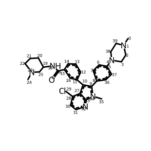 CN1CCN(c2ccc(-c3c(-c4cccc(C(=O)NC5CCCN(C)C5)c4)c4c(Cl)ccnc4n3C)cc2)CC1